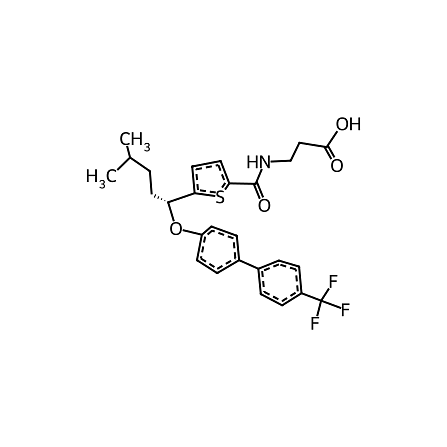 CC(C)CC[C@@H](Oc1ccc(-c2ccc(C(F)(F)F)cc2)cc1)c1ccc(C(=O)NCCC(=O)O)s1